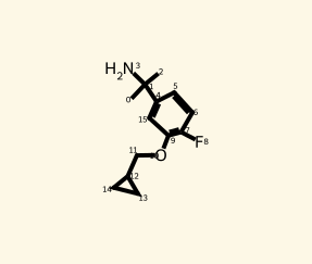 CC(C)(N)c1ccc(F)c(OCC2CC2)c1